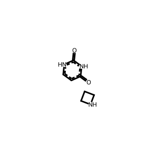 C1CNC1.O=c1cc[nH]c(=O)[nH]1